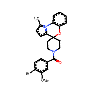 CCc1ccc(C(=O)N2CCC3(CC2)Oc2ccccc2-n2c(C(F)(F)F)ccc23)cc1OC